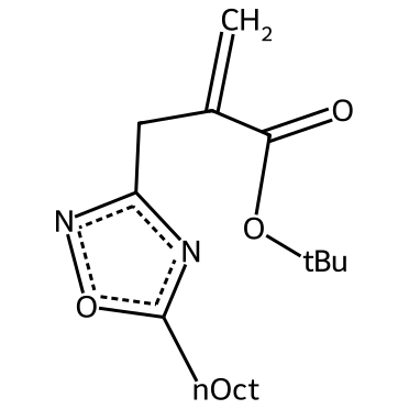 C=C(Cc1noc(CCCCCCCC)n1)C(=O)OC(C)(C)C